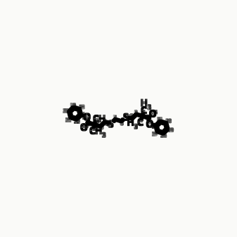 CC(C)(CCSCCSCCC(C)(C)C(=O)Oc1ccccc1)C(=O)Oc1ccccc1